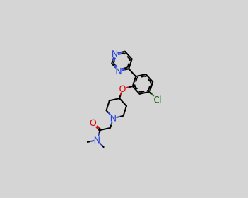 CN(C)C(=O)CN1CCC(Oc2cc(Cl)ccc2-c2ccncn2)CC1